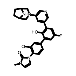 Cn1ccn(-c2ccc(-c3cc(F)cc(-c4cncc(N5CC6CCC(C5)N6)c4)c3O)cc2Cl)c1=O